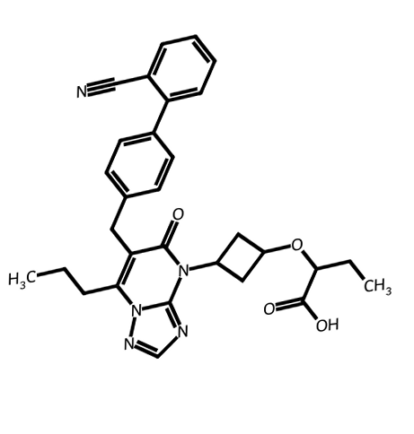 CCCc1c(Cc2ccc(-c3ccccc3C#N)cc2)c(=O)n(C2CC(OC(CC)C(=O)O)C2)c2ncnn12